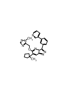 Cn1ncnc1COc1nn2c(-c3cccc(-c4cccnc4)c3)nnc2cc1C1(C)CCCC1